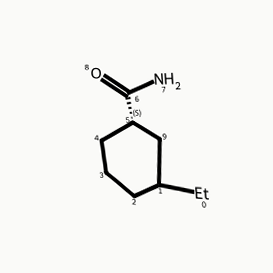 CCC1CCC[C@H](C(N)=O)C1